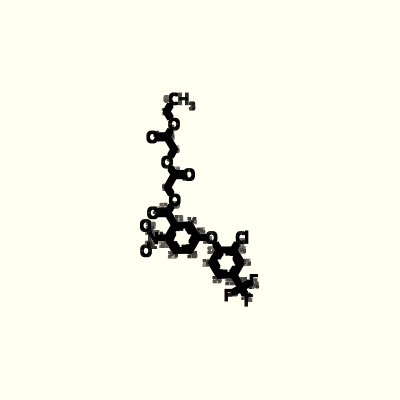 CCOC(=O)COC(=O)COC(=O)c1cc(Oc2ccc(C(F)(F)F)cc2Cl)ccc1[N+](=O)[O-]